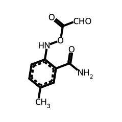 Cc1ccc(NOC(=O)C=O)c(C(N)=O)c1